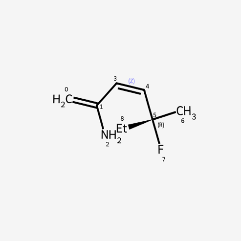 C=C(N)/C=C\[C@](C)(F)CC